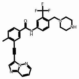 Cc1ccc(C(=O)Nc2ccc(CN3CCNCC3)c(C(F)(F)F)c2)cc1C#Cc1cnc2cccnn12